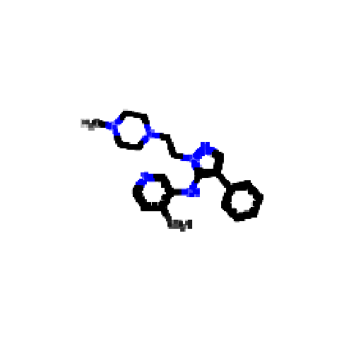 CN1CCN(CCn2ncc(-c3ccccc3)c2Nc2cnccc2C(=O)O)CC1